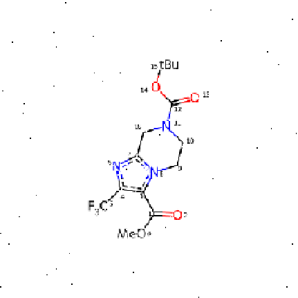 COC(=O)c1c(C(F)(F)F)nc2n1CCN(C(=O)OC(C)(C)C)C2